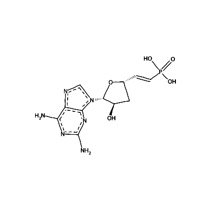 Nc1nc(N)c2ncn([C@@H]3O[C@H](/C=C/P(=O)(O)O)C[C@H]3O)c2n1